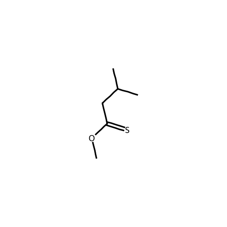 COC(=S)CC(C)C